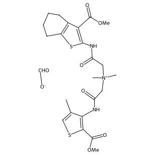 COC(=O)c1scc(C)c1NC(=O)C[N+](C)(C)CC(=O)Nc1sc2c(c1C(=O)OC)CCCC2.O=C[O-]